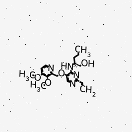 C=Cc1ncc(OCc2nccc(OC)c2OC)c(N[C@H](CO)CCC)n1